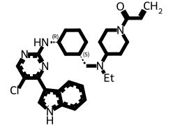 C=CC(=O)N1CCC(N(CC)C[C@H]2CCC[C@@H](Nc3ncc(Cl)c(-c4c[nH]c5ccccc45)n3)C2)CC1